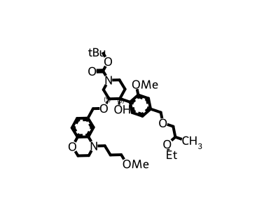 CCOC(C)COCc1ccc([C@@]2(O)CCN(C(=O)OC(C)(C)C)C[C@@H]2OCc2ccc3c(c2)N(CCCOC)CCO3)c(OC)c1